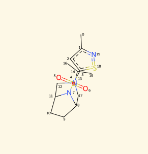 Cc1cc(S(=O)(=O)N2C3CCC2CN(C(C)C)C3)sn1